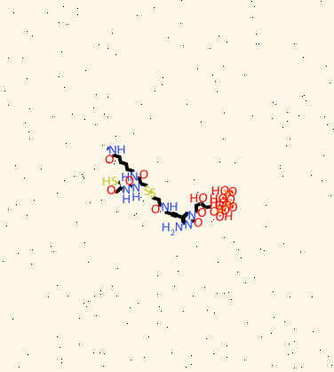 CNC(=O)CCCCCNC(=O)C(CSSCCC(=O)NCC#Cc1cn(C2CC(O)C(COP(=O)(O)OP(=O)(O)OP(=O)(O)O)O2)c(=O)nc1N)NC(=O)N[C@H](C=O)CS